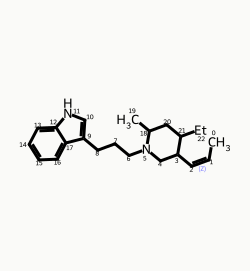 C/C=C\C1CN(CCCc2c[nH]c3ccccc23)C(C)CC1CC